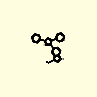 Nc1n[nH]c2ccc(-c3[nH]c(-c4ccccc4)nc3-c3ccncc3)cc12